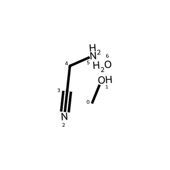 CO.N#CCN.O